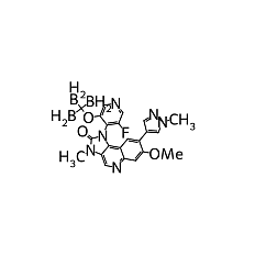 BC(B)(B)Oc1cncc(F)c1-n1c(=O)n(C)c2cnc3cc(OC)c(-c4cnn(C)c4)cc3c21